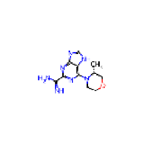 C[C@@H]1COCCN1c1nc(C(=N)N)nc2nc[nH]c12